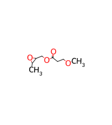 COCCC(=O)OCC1OC1C